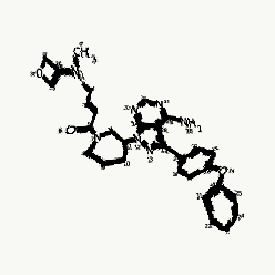 CN(CC=CC(=O)N1CCCC(n2nc(-c3ccc(Oc4ccccc4)cc3)c3c(N)ncnc32)C1)C1COC1